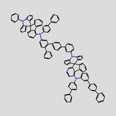 c1ccc(-c2ccc(-c3cccc(N(c4ccc(-c5ccccc5)cc4)c4cccc5c4-c4ccccc4C54c5ccccc5N(c5cccc(-c6ccc(-c7cc(N(c8ccc(-c9ccccc9)cc8)c8cccc9c8-c8ccccc8C98c9ccccc9N(c9ccccc9)c9ccccc98)ccc7-c7ccccc7)cc6)c5)c5ccccc54)c3)cc2)cc1